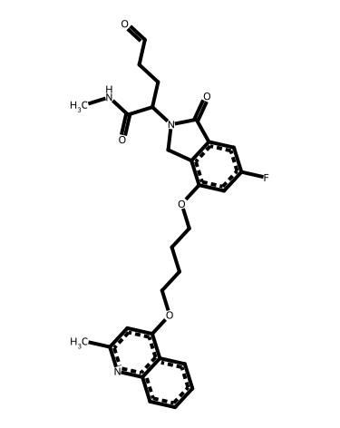 CNC(=O)C(CCC=O)N1Cc2c(OCCCCOc3cc(C)nc4ccccc34)cc(F)cc2C1=O